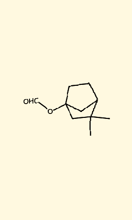 CC1(C)CC2(OC=O)CCC1C2